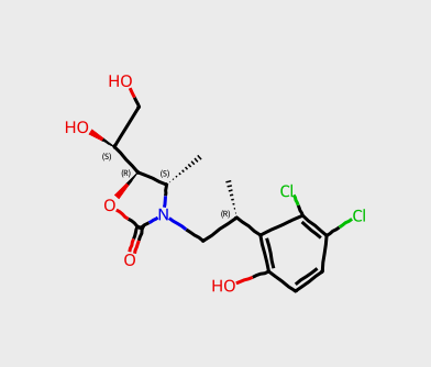 C[C@@H](CN1C(=O)O[C@@H]([C@@H](O)CO)[C@@H]1C)c1c(O)ccc(Cl)c1Cl